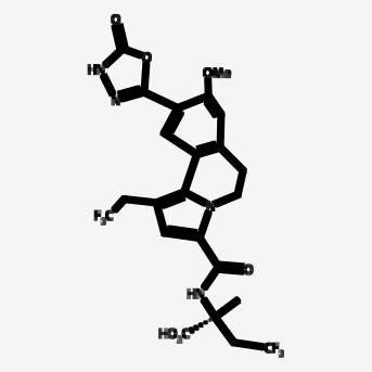 COc1cc2c(cc1-c1n[nH]c(=O)o1)-c1c(CC(F)(F)F)cc(C(=O)N[C@@](C)(CC(F)(F)F)C(=O)O)n1CC2